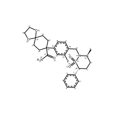 C[C@H]1CC[C@H](c2ccccc2)S(=O)(=O)N1Cc1ccc(C2(C(N)=O)CCC3(CC2)OCCO3)cc1F